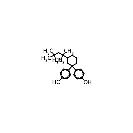 CC(C)(C)CC(C)(C)C1CCCC(c2ccc(O)cc2)(c2ccc(O)cc2)C1